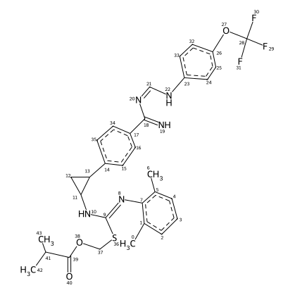 Cc1cccc(C)c1/N=C(/NC1CC1c1ccc(C(=N)/N=C\Nc2ccc(OC(F)(F)F)cc2)cc1)SCOC(=O)C(C)C